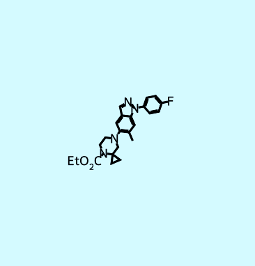 CCOC(=O)N1CCN(c2cc3cnn(-c4ccc(F)cc4)c3cc2C)CC12CC2